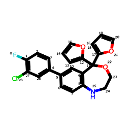 Fc1ccc(-c2ccc3c(c2)C(c2ccco2)(c2ccco2)OCCN3)cc1Cl